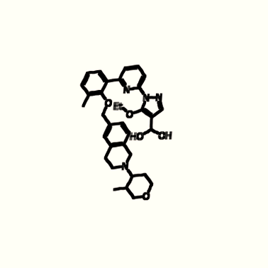 CCOc1c(C(O)O)cnn1-c1cccc(-c2cccc(C)c2OCc2ccc3c(c2)CCN(C2CCOCC2C)C3)n1